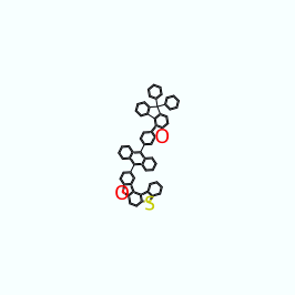 c1ccc(C2(c3ccccc3)c3ccccc3-c3c2ccc2oc4cc(-c5c6ccccc6c(-c6ccc7oc8ccc9sc%10ccccc%10c9c8c7c6)c6ccccc56)ccc4c32)cc1